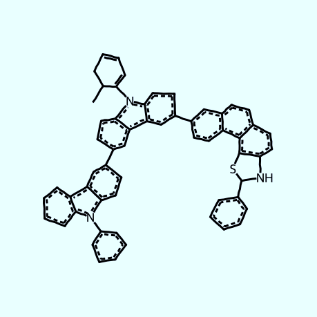 CC1CC=CC=C1n1c2ccc(-c3ccc4c(ccc5ccc6c(c54)SC(c4ccccc4)N6)c3)cc2c2cc(-c3ccc4c(c3)c3ccccc3n4-c3ccccc3)ccc21